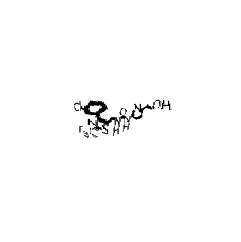 O=C(NCc1sc(C(F)(F)F)nc1-c1cccc(Cl)c1)Nc1ccc(CCO)nc1